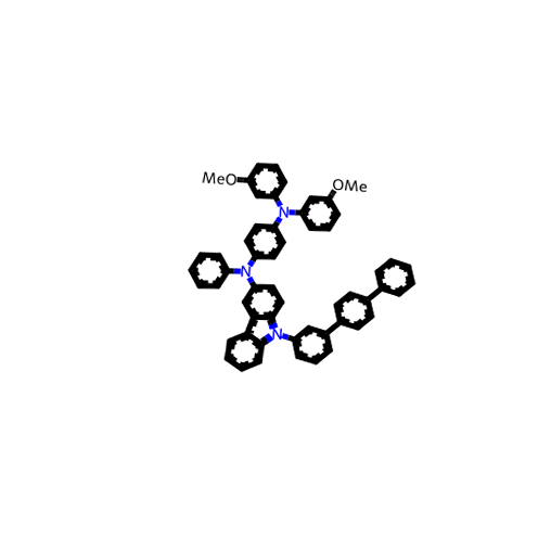 COc1cccc(N(c2ccc(N(c3ccccc3)c3ccc4c(c3)c3ccccc3n4-c3cccc(-c4ccc(-c5ccccc5)cc4)c3)cc2)c2cccc(OC)c2)c1